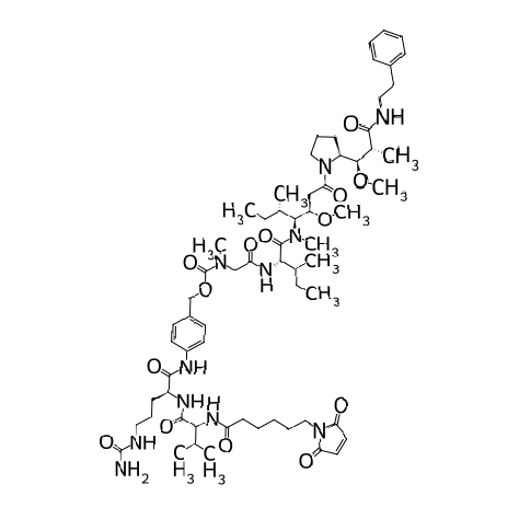 CCC(C)[C@H](NC(=O)CN(C)C(=O)OCc1ccc(NC(=O)[C@H](CCCNC(N)=O)NC(=O)C(NC(=O)CCCCCN2C(=O)C=CC2=O)C(C)C)cc1)C(=O)N(C)[C@@H]([C@@H](C)CC)[C@@H](CC(=O)N1CCC[C@H]1[C@H](OC)[C@@H](C)C(=O)NCCc1ccccc1)OC